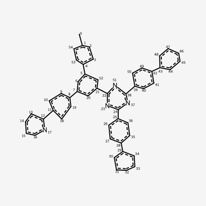 Cc1ccc(-c2cc(-c3ccc(-c4ccccn4)cc3)cc(-c3nc(-c4ccc(-c5ccccc5)cc4)nc(-c4ccc(-c5ccccc5)cc4)n3)c2)cc1